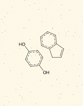 C1=Cc2ccccc2C1.Oc1ccc(O)cc1